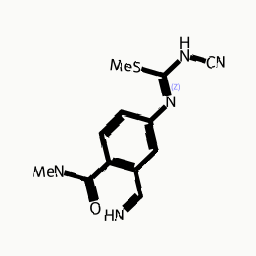 CNC(=O)c1ccc(/N=C(/NC#N)SC)cc1C=N